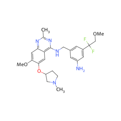 COCC(F)(F)c1cc(N)cc(CNc2nc(C)nc3cc(OC)c(OC4CCN(C)C4)cc23)c1